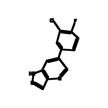 Fc1ccc(-c2cnc3cn[nH]c3c2)cc1Cl